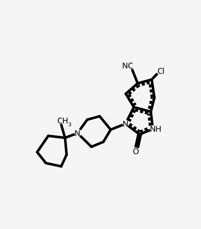 CC1(N2CCC(n3c(=O)[nH]c4cc(Cl)c(C#N)cc43)CC2)CCCCC1